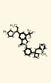 CCC(c1cc2c(c(C(F)(F)F)c1)CN(c1cccc(C3(Cc4nncn4C)COC3)c1)C2=O)N1CC[C@H](F)C1